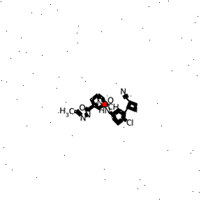 Cc1nnc(C23CC(C)CC(C2)N3C(=O)Nc2ccc(Cl)c([C@@H]3CC[C@@H]3C#N)c2)o1